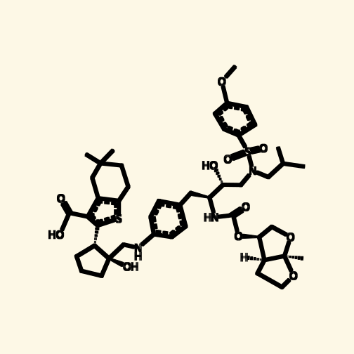 COc1ccc(S(=O)(=O)N(CC(C)C)C[C@@H](O)[C@H](Cc2ccc(NC[C@]3(O)CCC[C@@H]3c3sc4c(c3C(=O)O)CC(C)(C)CC4)cc2)NC(=O)O[C@H]2CO[C@@]3(C)OCC[C@@H]23)cc1